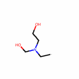 [CH2]CN(CO)CCO